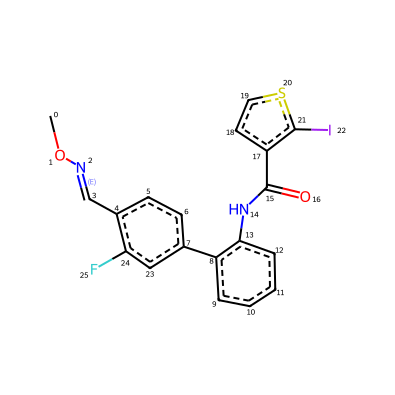 CO/N=C/c1ccc(-c2ccccc2NC(=O)c2ccsc2I)cc1F